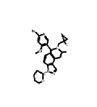 COc1cc(Br)ncc1C1c2ccc3c(cnn3[C@H]3CCCCO3)c2CC(C)N1CC1(F)CC1